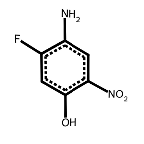 Nc1cc([N+](=O)[O-])c(O)cc1F